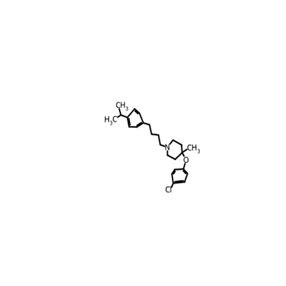 CC(C)c1ccc(CCCCN2CCC(C)(Oc3ccc(Cl)cc3)CC2)cc1